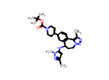 Cc1cc(NC2CCn3nnc(C)c3-c3ccc(C4=CCN(C(=O)OC(C)(C)C)CC4)cc32)n(C)n1